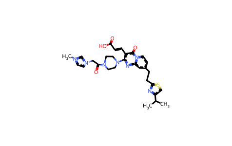 CC(C)c1csc(CCc2ccn3c(=O)c(/C=C/C(=O)O)c(N4CCN(C(=O)C[n+]5ccn(C)c5)CC4)nc3c2)n1